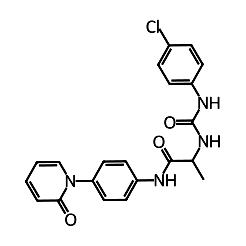 CC(NC(=O)Nc1ccc(Cl)cc1)C(=O)Nc1ccc(-n2ccccc2=O)cc1